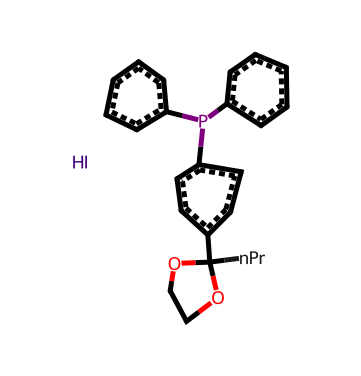 CCCC1(c2ccc(P(c3ccccc3)c3ccccc3)cc2)OCCO1.I